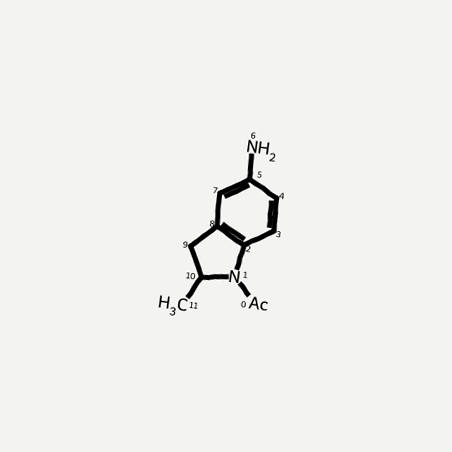 CC(=O)N1c2ccc(N)cc2CC1C